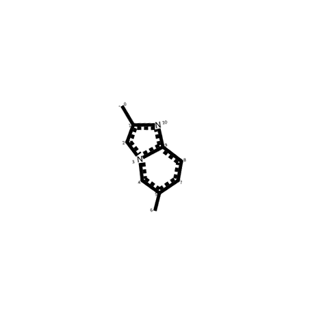 [CH2]c1cn2cc(C)ccc2n1